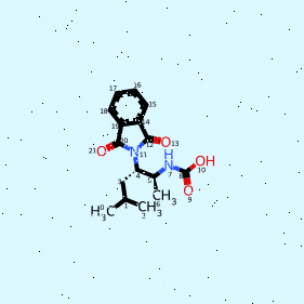 CC(C)C[C@@H]([C@H](C)NC(=O)O)N1C(=O)c2ccccc2C1=O